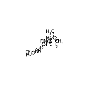 CCCc1ccc(C)cc1N/C(=N/C(=O)Nc1c(F)cc(OCc2ncn(-c3ccc(OC(F)(F)F)cc3)n2)cc1F)SCC